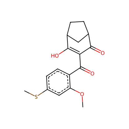 COc1cc(SC)ccc1C(=O)C1=C(O)C2CCC(C2)C1=O